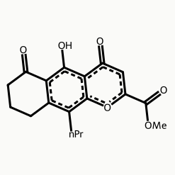 CCCc1c2c(c(O)c3c(=O)cc(C(=O)OC)oc13)C(=O)CCC2